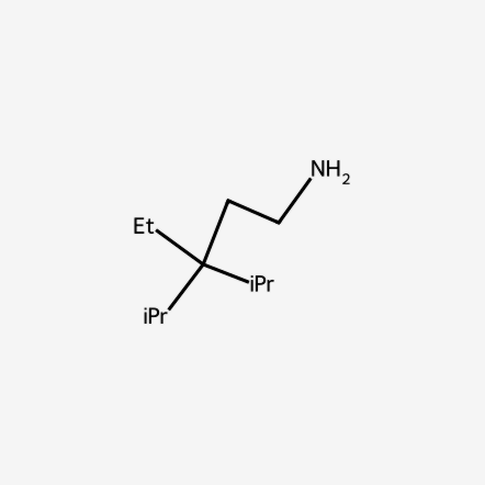 CCC(CCN)(C(C)C)C(C)C